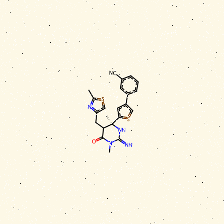 Cc1nc(CC2C(=O)N(C)C(=N)N[C@]2(C)c2cc(-c3cccc(C#N)c3)cs2)cs1